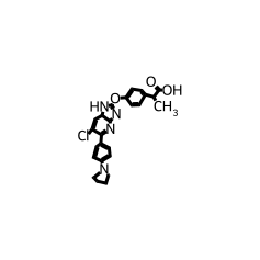 CC(C(=O)O)c1ccc(OC2=NC3N=C(c4ccc(N5CCCC5)cc4)C(Cl)=CC3N2)cc1